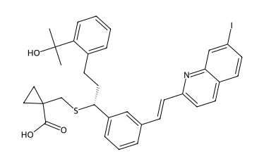 CC(C)(O)c1ccccc1CC[C@@H](SCC1(C(=O)O)CC1)c1cccc(/C=C/c2ccc3ccc(I)cc3n2)c1